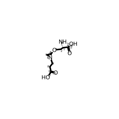 N[C@@H](COC1CN1CCC(=O)O)C(=O)O